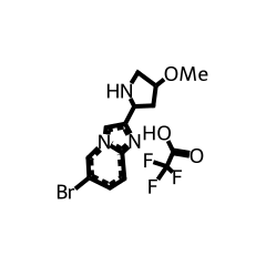 COC1CNC(c2cn3cc(Br)ccc3n2)C1.O=C(O)C(F)(F)F